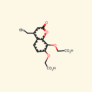 CC(C)(C)Cc1cc(=O)oc2c(OCC(=O)O)c(OCC(=O)O)ccc12